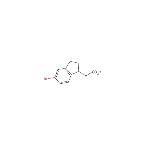 O=C(O)CC1CCc2cc(Br)ccc21